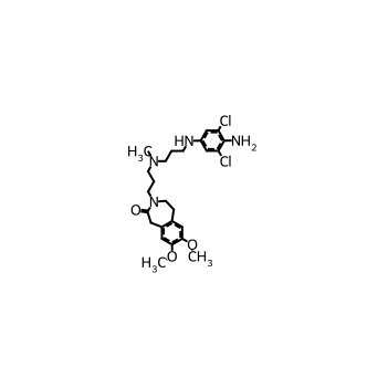 COc1cc2c(cc1OC)CC(=O)N(CCCN(C)CCCNc1cc(Cl)c(N)c(Cl)c1)CC2